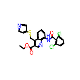 CCOC(=O)c1cnc2c(NC(=O)c3c(Cl)cccc3Cl)cccc2c1CSc1ccncc1